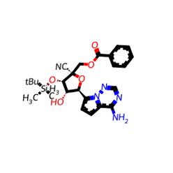 CC(C)(C)[Si](C)(C)O[C@H]1[C@@H](O)[C@H](c2ccc3c(N)ncnn23)O[C@]1(C#N)COC(=O)c1ccccc1